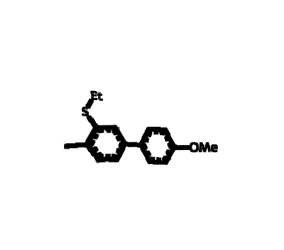 CCSc1[c]c(-c2ccc(OC)cc2)ccc1C